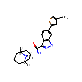 Cc1csc(-c2ccc3c(C(=O)N[C@H]4C[C@H]5CCC[C@@H](C4)N5C)n[nH]c3c2)c1